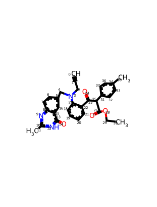 C#CCN(Cc1ccc2nc(C)[nH]c(=O)c2c1)c1ccccc1C(=O)C(C(=O)OCC)c1ccc(C)cc1